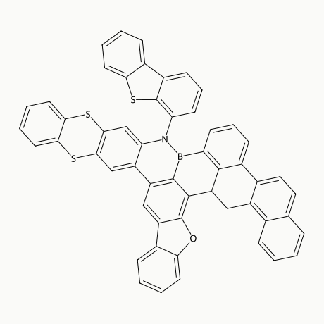 c1ccc2c(c1)Sc1cc3c(cc1S2)N(c1cccc2c1sc1ccccc12)B1c2cccc4c2C(Cc2c-4ccc4ccccc24)c2c1c-3cc1c2oc2ccccc21